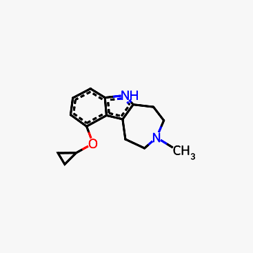 CN1CCc2[nH]c3cccc(OC4CC4)c3c2CC1